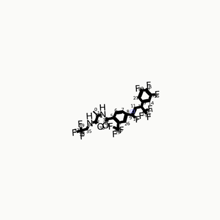 C[C@@H](NC(=O)c1ccc(/C(F)=C/C(c2cc(F)c(F)c(F)c2)C(F)(F)F)cc1C(F)(F)F)C(=O)NCC(F)(F)F